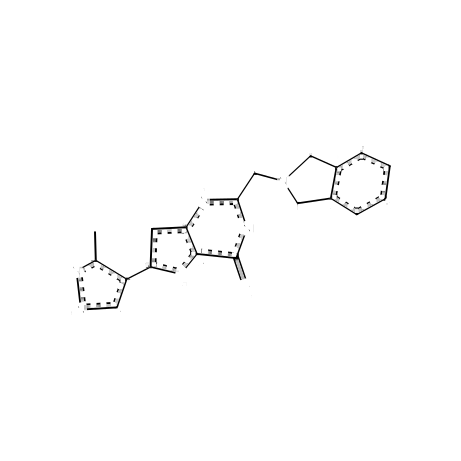 Cc1[nH]ncc1-c1cc2nc(CN3Cc4ccccc4C3)[nH]c(=O)c2s1